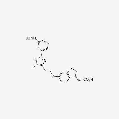 CC(=O)Nc1cccc(-c2nc(CCOc3ccc4c(c3)CC[C@H]4CC(=O)O)c(C)o2)c1